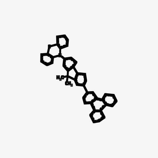 CC1(C)c2cc(-c3ccc4c5ccccc5c5ccccc5c4c3)ccc2-c2ccc(N3c4ccccc4Sc4ccccc43)cc21